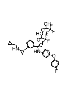 O=C(Nc1ccc(Oc2ccc(F)cc2)nc1)c1cccc(C2CC2NCC2CC2)c1.O=C(O)C(F)(F)F.O=C(O)C(F)(F)F